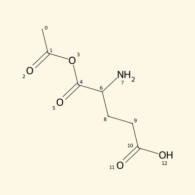 CC(=O)OC(=O)C(N)CCC(=O)O